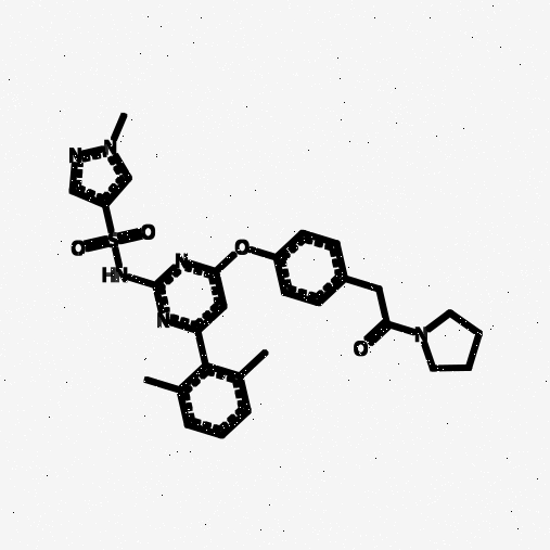 Cc1cccc(C)c1-c1cc(Oc2ccc(CC(=O)N3CCCC3)cc2)nc(NS(=O)(=O)c2cnn(C)c2)n1